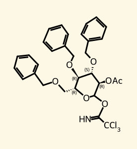 CC(=O)O[C@H]1C(OC(=N)C(Cl)(Cl)Cl)O[C@H](COCc2ccccc2)[C@@H](OCc2ccccc2)[C@@H]1OCc1ccccc1